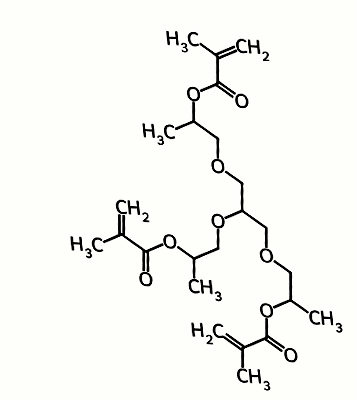 C=C(C)C(=O)OC(C)COCC(COCC(C)OC(=O)C(=C)C)OCC(C)OC(=O)C(=C)C